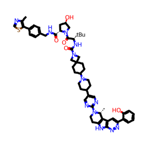 Cc1ncsc1-c1ccc(CNC(=O)[C@@H]2C[C@@H](O)CN2C(=O)[C@@H](NC(=O)N2CC3(CCC(N4CCC(c5cnc(N6CCc7[nH]c8nnc(-c9ccccc9O)cc8c7[C@H]6C)nc5)CC4)CC3)C2)C(C)(C)C)cc1